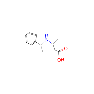 CC(CC(=O)O)N[C@H](C)c1ccccc1